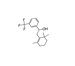 CC1=C(CC(O)c2cccc(C(F)(F)F)c2)C(C)(C)CCC1